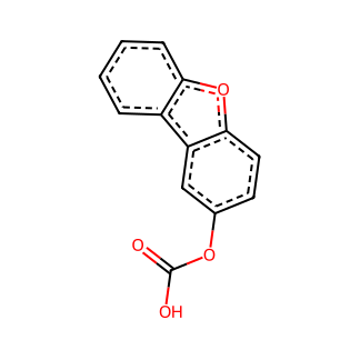 O=C(O)Oc1ccc2oc3ccccc3c2c1